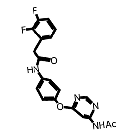 CC(=O)Nc1cc(Oc2ccc(NC(=O)Cc3cccc(F)c3F)cc2)ncn1